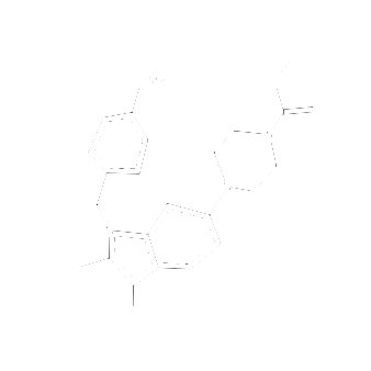 COc1ccc(Cn2c(C(=O)O)c(C=O)c3ccc(N4CCN(C(=O)OC(C)(C)C)CC4)cc32)cc1